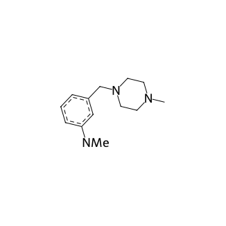 CNc1cccc(CN2CCN(C)CC2)c1